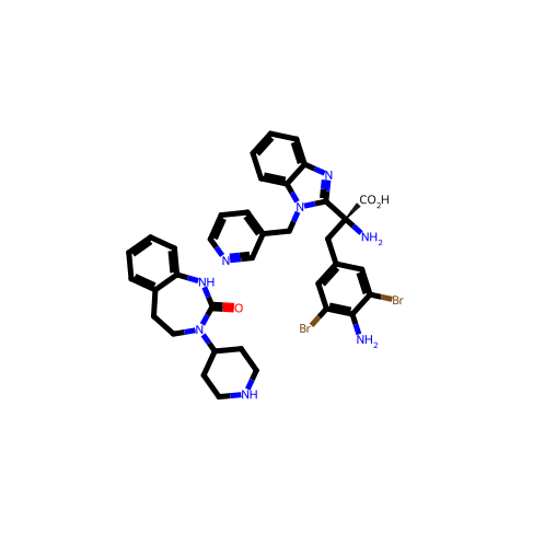 Nc1c(Br)cc(C[C@](N)(C(=O)O)c2nc3ccccc3n2Cc2cccnc2)cc1Br.O=C1Nc2ccccc2CCN1C1CCNCC1